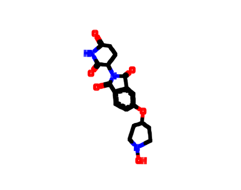 O=C1CCC(N2C(=O)c3ccc(OC4CCN(O)CC4)cc3C2=O)C(=O)N1